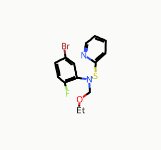 CCOCN(Sc1ccccn1)c1cc(Br)ccc1F